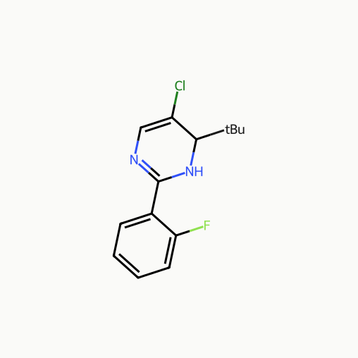 CC(C)(C)C1NC(c2ccccc2F)=NC=C1Cl